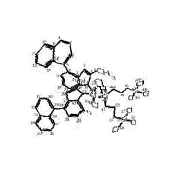 CC1=Cc2c(-c3cccc4ccccc34)cccc2[CH]1[Zr]([Cl])([Cl])([CH]1C(C)=Cc2c(-c3cccc4ccccc34)cccc21)[SiH](CCC[Si](Cl)(Cl)Cl)CCC[Si](Cl)(Cl)Cl